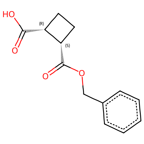 O=C(OCc1ccccc1)[C@H]1CC[C@H]1C(=O)O